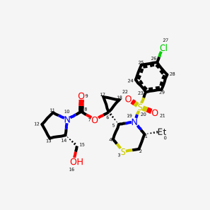 CC[C@@H]1CSC[C@H](C2(OC(=O)N3CCC[C@H]3CO)CC2)N1S(=O)(=O)c1ccc(Cl)cc1